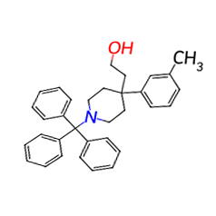 Cc1cccc(C2(CCO)CCN(C(c3ccccc3)(c3ccccc3)c3ccccc3)CC2)c1